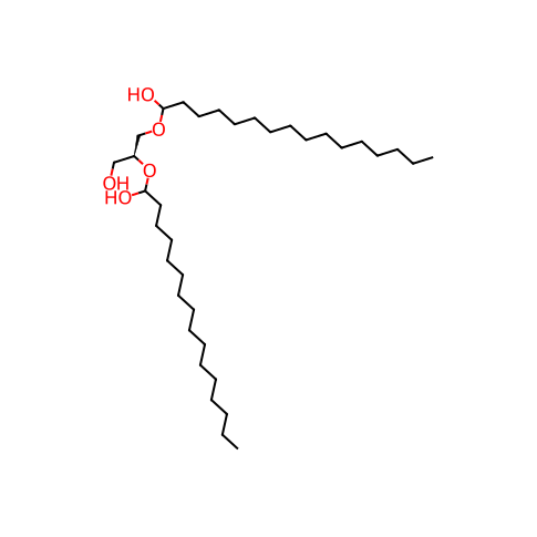 CCCCCCCCCCCCCCCC(O)OC[C@H](CO)OC(O)CCCCCCCCCCCCCCC